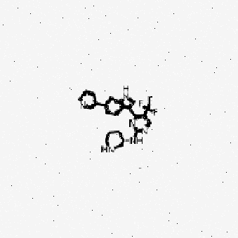 FC(F)(F)c1cnc(N[C@H]2CCCNC2)nc1-c1c[nH]c2cc(-c3cccnc3)ccc12